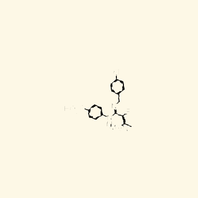 CCC(=C(\C)NC)/C(=N\Cc1ccc(Cl)cc1)Nc1ccc(C(=O)O)cc1